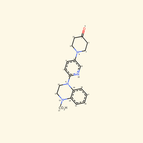 O=C1CCN(c2ccc(N3CCN(C(=O)O)c4ccccc43)nc2)CC1